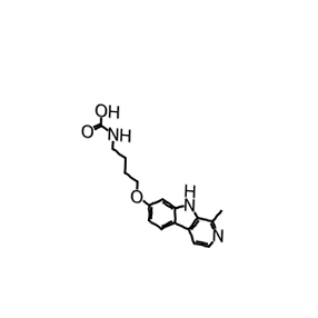 Cc1nccc2c1[nH]c1cc(OCCCCNC(=O)O)ccc12